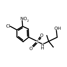 CC(C)(CO)NS(=O)(=O)c1ccc(Cl)c([N+](=O)[O-])c1